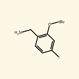 CC(C)(C)Oc1cc(I)ccc1C[SiH3]